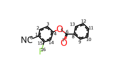 N#Cc1ccc(OC(=O)c2ccccc2)cc1F